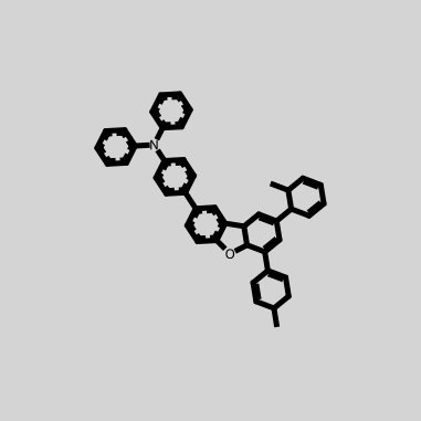 CC1C=CC(C2=CC(C3C=CC=CC3C)=CC3c4cc(-c5ccc(N(c6ccccc6)c6ccccc6)cc5)ccc4OC23)=CC1